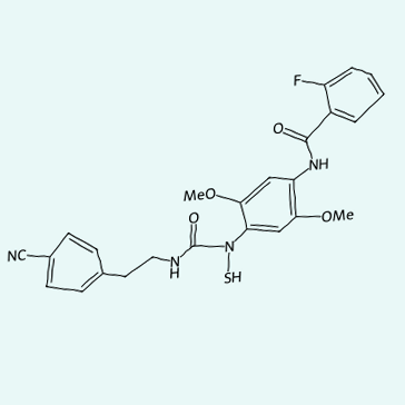 COc1cc(N(S)C(=O)NCCc2ccc(C#N)cc2)c(OC)cc1NC(=O)c1ccccc1F